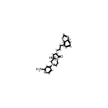 Nc1cc(N2CCN3C(=O)[C@@H](CCCc4cccc5ncsc45)C[C@H]3C2)ccn1